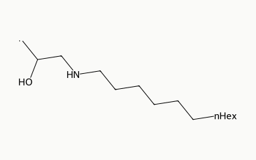 [CH2]C(O)CNCCCCCCCCCCCC